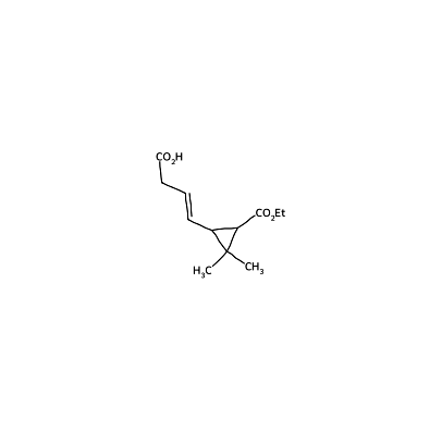 CCOC(=O)C1C(C=CCC(=O)O)C1(C)C